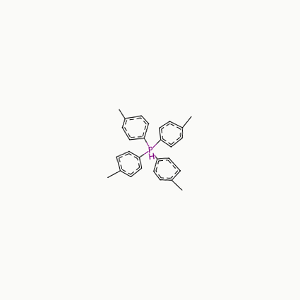 Cc1ccc([PH](c2ccc(C)cc2)(c2ccc(C)cc2)c2ccc(C)cc2)cc1